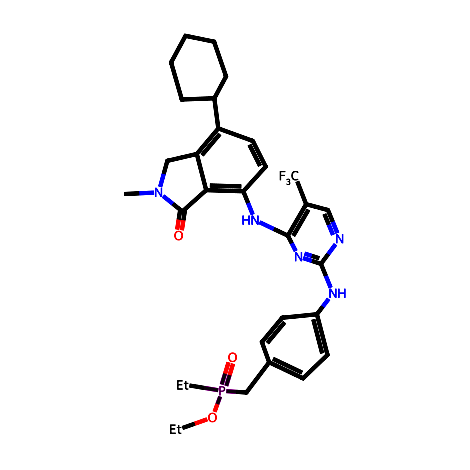 CCOP(=O)(CC)Cc1ccc(Nc2ncc(C(F)(F)F)c(Nc3ccc(C4CCCCC4)c4c3C(=O)N(C)C4)n2)cc1